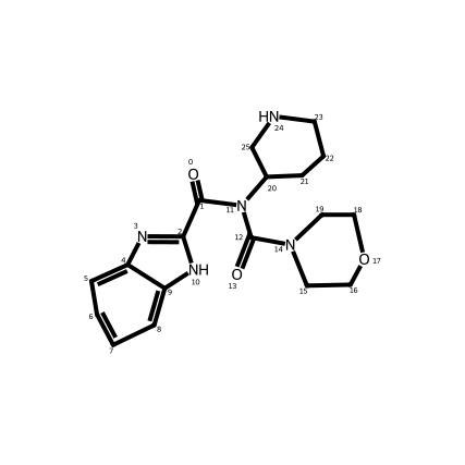 O=C(c1nc2ccccc2[nH]1)N(C(=O)N1CCOCC1)C1CCCNC1